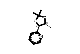 C[C@H]1OC(C)(C)O[C@@H]1c1ccccn1